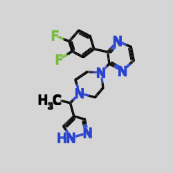 CC(c1cn[nH]c1)N1CCN(c2nccnc2-c2ccc(F)c(F)c2)CC1